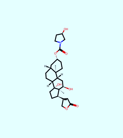 C[C@@]12CC[C@@H](OC(=O)N3CC[C@@H](O)C3)C[C@H]1CC[C@@H]1[C@H]2C[C@@H](O)[C@@]2(C)[C@@H](C3=CC(=O)OC3)CC[C@@]12O